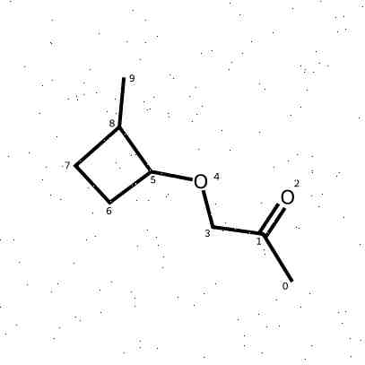 CC(=O)COC1CCC1C